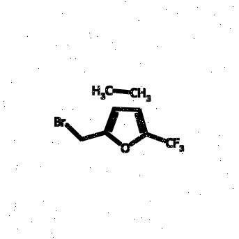 CC.FC(F)(F)c1ccc(CBr)o1